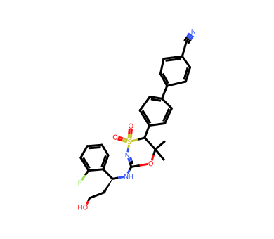 CC1(C)OC(N[C@@H](CCO)c2ccccc2F)=NS(=O)(=O)C1c1ccc(-c2ccc(C#N)cc2)cc1